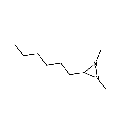 CCCCCCC1N(C)N1C